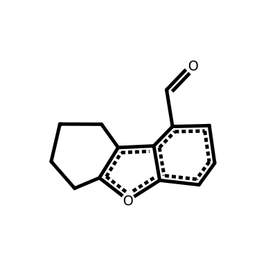 O=Cc1cccc2oc3c(c12)CCCC3